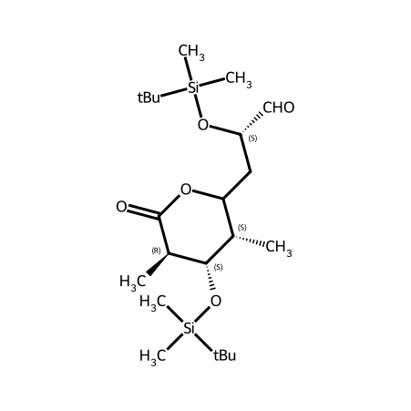 C[C@H]1C(=O)OC(C[C@@H](C=O)O[Si](C)(C)C(C)(C)C)[C@H](C)[C@@H]1O[Si](C)(C)C(C)(C)C